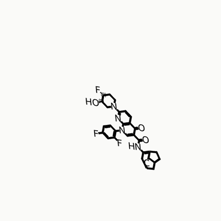 O=C(NC1=C2CCC3CC(C1)CC23)c1cn(-c2ccc(F)cc2F)c2nc(N3CC[C@@H](F)[C@H](O)C3)ccc2c1=O